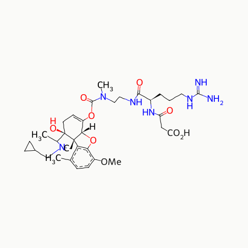 COc1ccc(C)c2c1O[C@H]1C(OC(=O)N(C)CCNC(=O)[C@@H](CCCNC(=N)N)NC(=O)CC(=O)O)=CC[C@@]3(O)C(C)N(CC4CC4)CC[C@]213